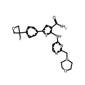 NC(=O)c1cc(-c2ccc(C3(F)COC3)cc2)sc1Nc1ccnc(CN2CCOCC2)n1